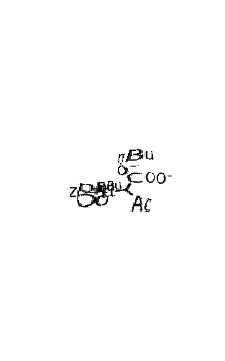 CCC(C(C)=O)C(=O)[O-].CCCC[O-].CCCC[O-].CCCC[O-].[Zr+4]